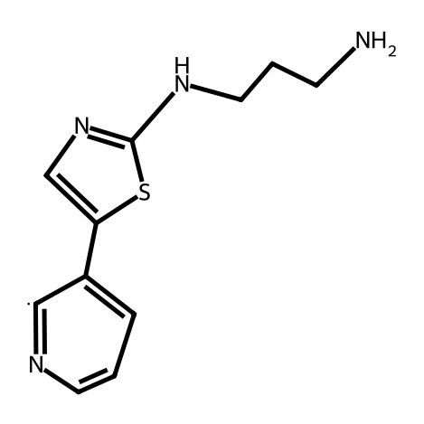 NCCCNc1ncc(-c2[c]nccc2)s1